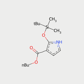 CCCCOC(=O)c1cc[nH]c1O[Si](C)(C)C(C)(C)C